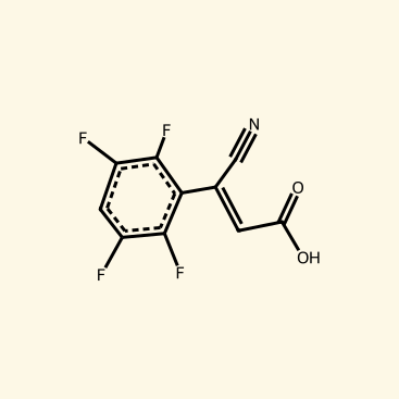 N#CC(=CC(=O)O)c1c(F)c(F)cc(F)c1F